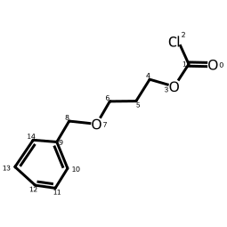 O=C(Cl)OCCCOCc1ccccc1